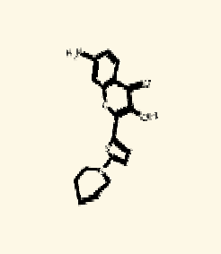 Nc1ccc2c(=O)c(O)c(-c3ccc(N4CCCCC4)s3)oc2c1